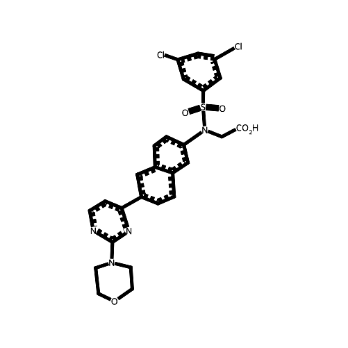 O=C(O)CN(c1ccc2cc(-c3ccnc(N4CCOCC4)n3)ccc2c1)S(=O)(=O)c1cc(Cl)cc(Cl)c1